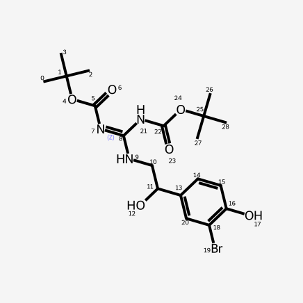 CC(C)(C)OC(=O)/N=C(/NCC(O)c1ccc(O)c(Br)c1)NC(=O)OC(C)(C)C